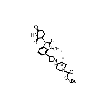 Cn1c(=O)n(C2CCC(=O)NC2=O)c2cccc(C3CN([C@@H]4CCN(C(=O)OC(C)(C)C)C[C@@H]4F)C3)c21